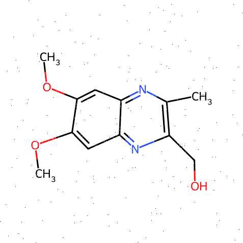 COc1cc2nc(C)c(CO)nc2cc1OC